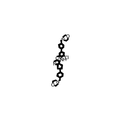 Cc1cc(-c2ccc(CN3CCOCC3)cc2)cc(Cl)c1Nc1c(C#N)cnc2cc(-c3ccc(CN4CCOCC4)cc3)ccc12